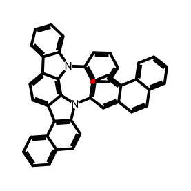 c1ccc(-n2c3ccccc3c3ccc4c5c6ccccc6ccc5n(-c5ccc6c(ccc7ccccc76)c5)c4c32)cc1